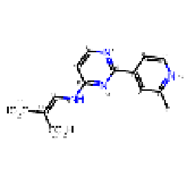 Cc1cc(-c2nccc(NC=C(C(=O)O)C(=O)O)n2)ccn1